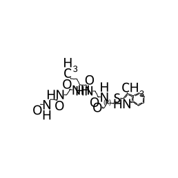 CCCC(NC(=O)CNC(=O)CNC=O)C(=O)NCC(=O)N[C@H](C=O)CSc1[nH]c2ccccc2c1C